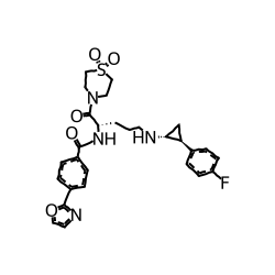 O=C(N[C@@H](CCCN[C@@H]1C[C@H]1c1ccc(F)cc1)C(=O)N1CCS(=O)(=O)CC1)c1ccc(-c2ncco2)cc1